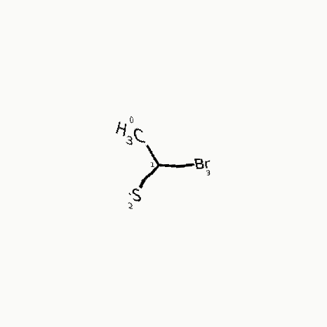 CC([S])Br